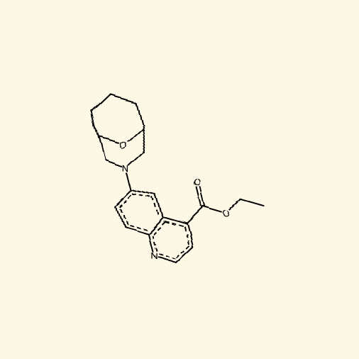 CCOC(=O)c1ccnc2ccc(N3CC4CCCC(C3)O4)cc12